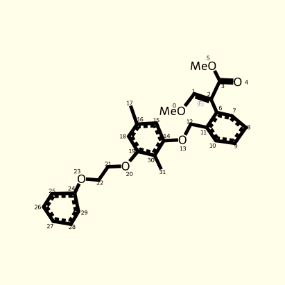 CO/C=C(/C(=O)OC)c1ccccc1COc1cc(C)cc(OCCOc2ccccc2)c1C